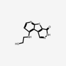 O=c1[nH]ncc2c1sc1nccc(NCCO)c12